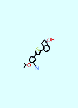 CC(C)OC1CC=C(c2csc(-c3cccc4c3CC[C@H]4O)c2)C=C1C#N